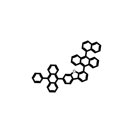 c1ccc(-c2c3ccccc3c(-c3ccc4c(c3)oc3c(-c5c6ccccc6c(-c6cccc7ccccc67)c6ccccc56)cccc34)c3ccccc23)cc1